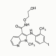 Cc1cc(I)ccc1Nc1c(C(=O)NOCCO)c2cccnc2n1C